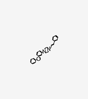 C(=C\c1ccccc1)/CN1CCN(c2cccc(Oc3ccccc3)c2)CC1